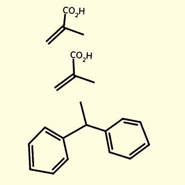 C=C(C)C(=O)O.C=C(C)C(=O)O.CC(c1ccccc1)c1ccccc1